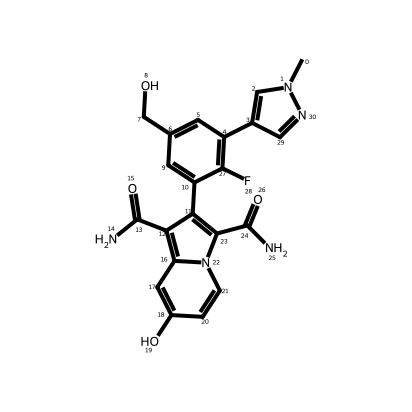 Cn1cc(-c2cc(CO)cc(-c3c(C(N)=O)c4cc(O)ccn4c3C(N)=O)c2F)cn1